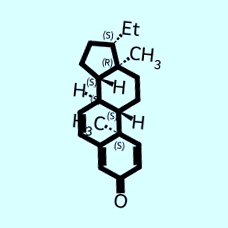 CC[C@H]1CC[C@H]2[C@@H]3C=CC4=CC(=O)C=C[C@]4(C)[C@H]3CC[C@]12C